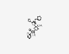 O=C(Nc1ccc(O)c(-c2cc(C3CCC3)n(Cc3ccccc3)n2)c1)c1ccco1